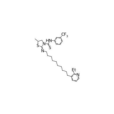 CCc1ncccc1CCCCCCCCCC/N=C1/SC(C)CN1C(=S)Nc1cccc(C(F)(F)F)c1